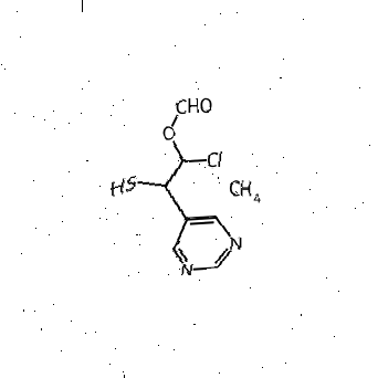 C.O=COC(Cl)C(S)c1cncnc1